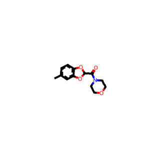 Cc1ccc2c(c1)OC(C(=O)N1CCOCC1)O2